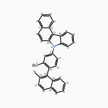 CCC(C)c1cc(-n2c3ccccc3c3c4ccccc4ccc32)ccc1-c1c(C)ccc2ccccc12